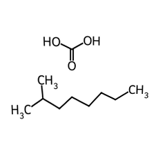 CCCCCCC(C)C.O=C(O)O